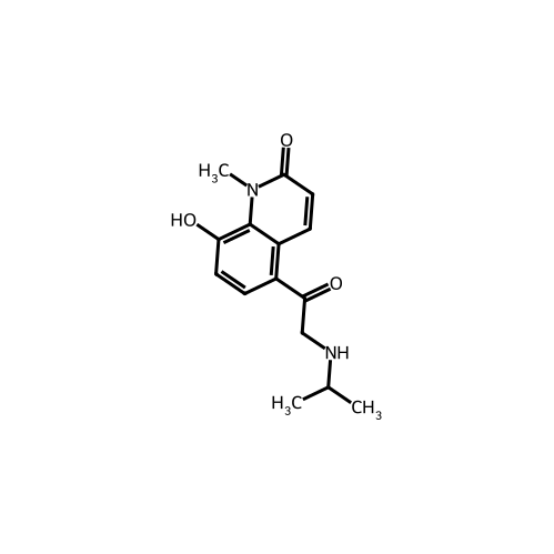 CC(C)NCC(=O)c1ccc(O)c2c1ccc(=O)n2C